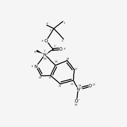 CC(C)(C)OC(=O)[N@@+]1(C)N=Cc2cc([N+](=O)[O-])ccc21